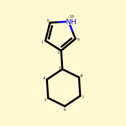 c1cc(C2CCCCC2)c[nH]1